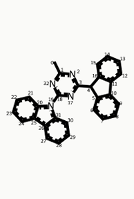 Cc1nc(C2c3ccccc3-c3ccccc32)nc(-n2c3ccccc3c3ccccc32)n1